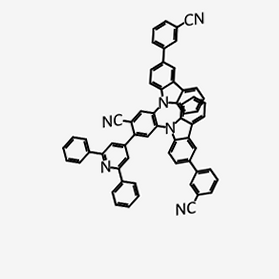 N#Cc1cccc(-c2ccc3c(c2)c2ccccc2n3-c2cc(C#N)c(-c3cc(-c4ccccc4)nc(-c4ccccc4)c3)cc2-n2c3ccccc3c3cc(-c4cccc(C#N)c4)ccc32)c1